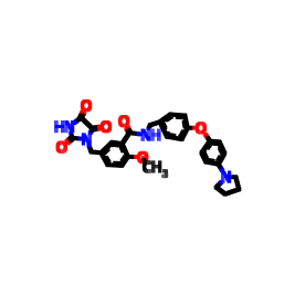 COc1ccc(CN2C(=O)NC(=O)C2=O)cc1C(=O)NCc1ccc(Oc2ccc(N3CCCC3)cc2)cc1